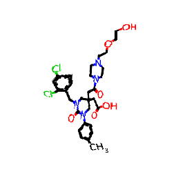 Cc1ccc(N2CC(CC(=O)O)(CC(=O)N3CCN(CCOCCO)CC3)CN(Cc3ccc(Cl)cc3Cl)C2=O)cc1